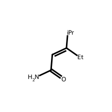 CC/C(=C\C(N)=O)C(C)C